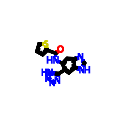 O=C(Nc1cc2nc[nH]c2cc1-c1nnn[nH]1)c1cccs1